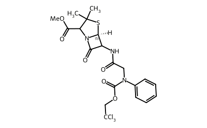 COC(=O)C1N2C(=O)C(NC(=O)CN(C(=O)OCC(Cl)(Cl)Cl)c3ccccc3)[C@@H]2SC1(C)C